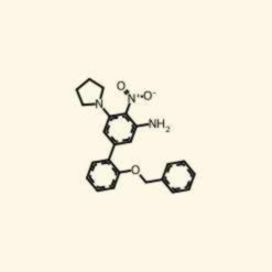 Nc1cc(-c2ccccc2OCc2ccccc2)cc(N2CCCC2)c1[N+](=O)[O-]